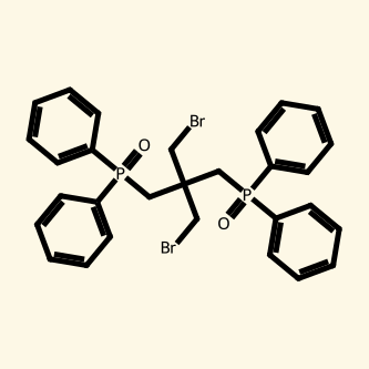 O=P(CC(CBr)(CBr)CP(=O)(c1ccccc1)c1ccccc1)(c1ccccc1)c1ccccc1